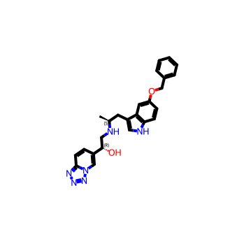 C[C@@H](Cc1c[nH]c2ccc(OCc3ccccc3)cc12)NC[C@H](O)c1ccc2nnnn2c1